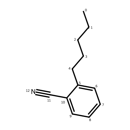 C[CH]CCCc1ccccc1C#N